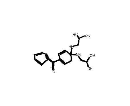 O=C(C1=CCC(NCC(O)O)(NCC(O)O)C=C1)c1ccccc1